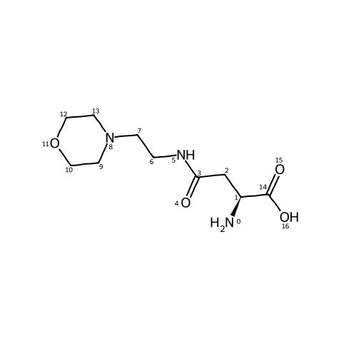 N[C@@H](CC(=O)NCCN1CCOCC1)C(=O)O